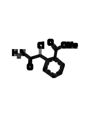 COC(=O)c1ccccc1C(Cl)C(N)=O